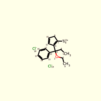 CCOC(CC)(C1=[C]([Ti+2])CC=C1)c1ccccc1.[Cl-].[Cl-]